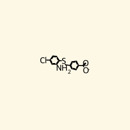 COC(=O)c1ccc(CSc2ccc(Cl)cc2N)cc1